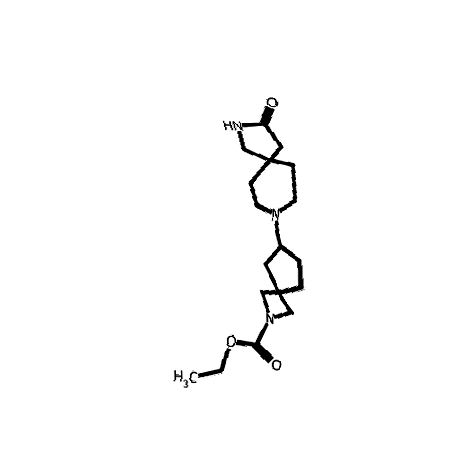 CCOC(=O)N1CC2(CCC(N3CCC4(CC3)CNC(=O)C4)C2)C1